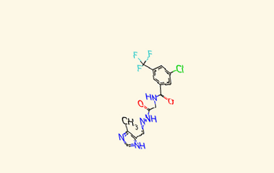 Cc1nc[nH]c1/C=N/NC(=O)CNC(=O)c1cc(Cl)cc(C(F)(F)F)c1